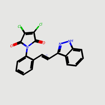 O=C1C(Cl)=C(Cl)C(=O)N1c1ccccc1/C=C/c1n[nH]c2ccccc12